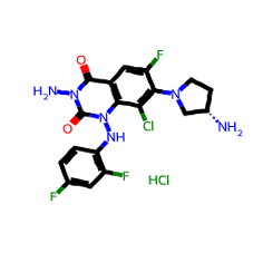 Cl.N[C@H]1CCN(c2c(F)cc3c(=O)n(N)c(=O)n(Nc4ccc(F)cc4F)c3c2Cl)C1